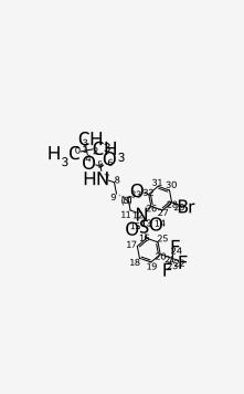 CC(C)(C)OC(=O)NCC[C@H]1CN(S(=O)(=O)c2cccc(C(F)(F)F)c2)c2cc(Br)ccc2O1